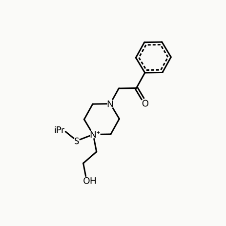 CC(C)S[N+]1(CCO)CCN(CC(=O)c2ccccc2)CC1